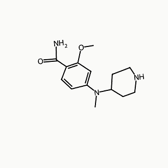 COc1cc(N(C)C2CCNCC2)ccc1C(N)=O